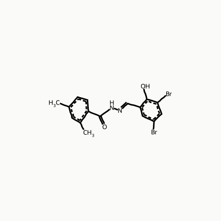 Cc1ccc(C(=O)N/N=C/c2cc(Br)cc(Br)c2O)c(C)c1